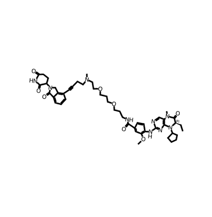 CC[C@@H]1C(=O)N(C)c2cnc(Nc3ccc(C(=O)NCCCOCCCOCCN(C)CCC#Cc4cccc5c4CN(C4CCC(=O)NC4=O)C5=O)cc3OC)nc2N1C1CCCC1